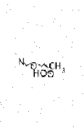 CC(=CCCOCCC#N)C(=O)O